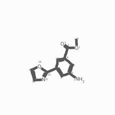 COC(=O)c1cc(N)cc(-c2ncco2)c1